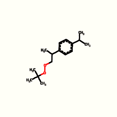 CC(C)c1ccc(C(C)COOC(C)(C)C)cc1